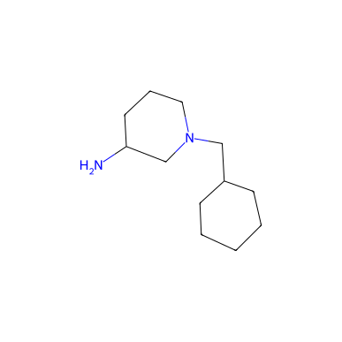 NC1CCCN(CC2CCCCC2)C1